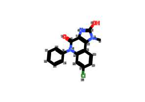 Cn1c(O)nc2c(=O)n(-c3ccccc3)c3cc(Cl)ccc3c21